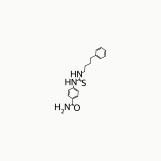 NC(=O)c1ccc(NC(=S)NCCCCc2ccccc2)cc1